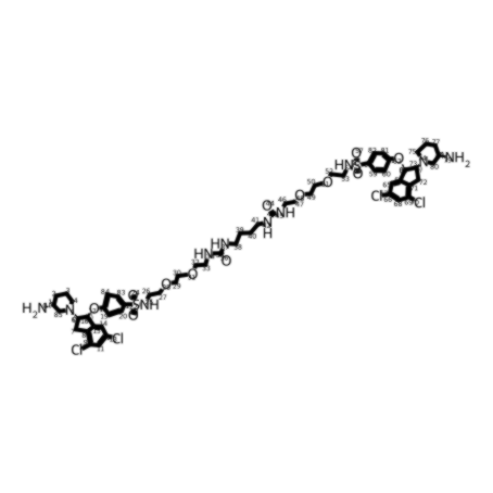 N[C@@H]1CCCN([C@H]2Cc3c(Cl)cc(Cl)cc3[C@@H]2Oc2ccc(S(=O)(=O)NCCOCCOCCNC(=O)NCCCCNC(=O)NCCOCCOCCNS(=O)(=O)c3ccc(O[C@H]4c5cc(Cl)cc(Cl)c5C[C@@H]4N4CCC[C@@H](N)C4)cc3)cc2)C1